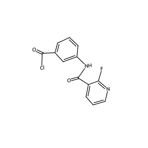 O=C(Cl)c1cccc(NC(=O)c2cccnc2F)c1